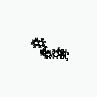 CP(C)(=O)c1ccc(-c2cnc3nnn(Cc4ccc5ncccc5c4)c3n2)cc1F